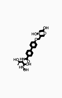 C[C@@H](O)[C@H](NC(=O)c1ccc(-c2ccc(OCC3=COC(O)=CN3O)cc2)cc1)C(O)NO